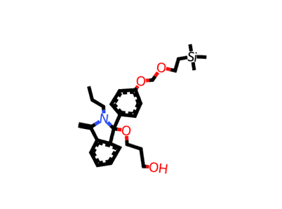 C=C1c2ccccc2C(OCCCO)(c2ccc(OCOCC[Si](C)(C)C)cc2)N1CCC